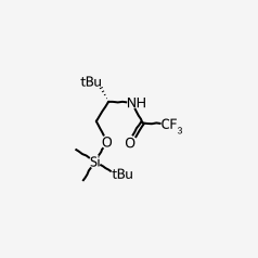 CC(C)(C)[C@@H](CO[Si](C)(C)C(C)(C)C)NC(=O)C(F)(F)F